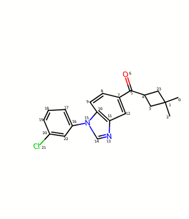 CC1(C)CC(C(=O)c2ccc3c(c2)ncn3-c2cccc(Cl)c2)C1